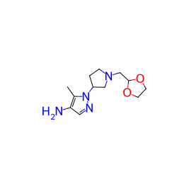 Cc1c(N)cnn1C1CCN(CC2OCCO2)C1